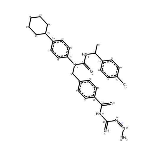 CC(NC(=O)N(Cc1ccc(C(=O)NC(=N)/N=N\N)cc1)c1ccc(C2CCCCC2)cc1)c1ccc(Cl)cc1